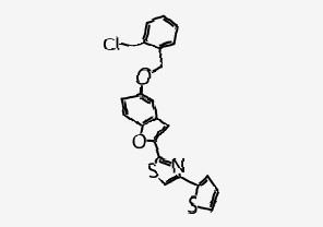 ClCc1ccccc1COc1ccc2oc(-c3nc(-c4cccs4)cs3)cc2c1